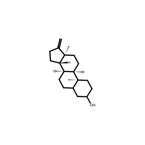 C=C1CC[C@H]2[C@@H]3CCC4CC(O)CC[C@]4(C)[C@@H]3CC[C@]12C